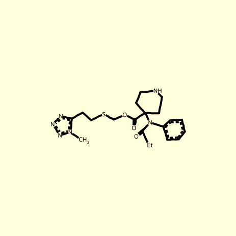 CCC(=O)N(c1ccccc1)C1(C(=O)OCSCCc2nnnn2C)CCNCC1